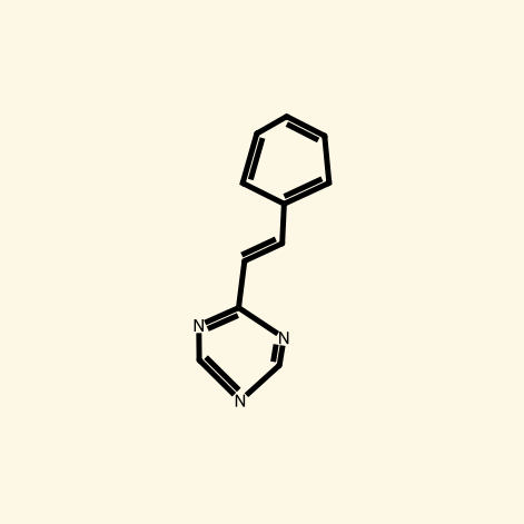 C(=Cc1ncncn1)c1ccccc1